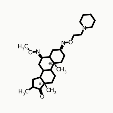 CON=C1CC2C(CC[C@]3(C)C(=O)C(C)CC23)[C@@]2(C)CCC(=NOCCN3CCCCC3)CC12